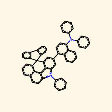 c1ccc(N(c2ccccc2)c2ccc(-c3cc4c5c6c7c(cccc7ccc6n(-c6ccccc6)c5c3)C43c4ccccc4-c4ccccc43)c3ccccc23)cc1